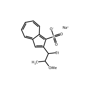 CCC(c1cc2cccccc-2c1S(=O)(=O)[O-])C(C)OC.[Na+]